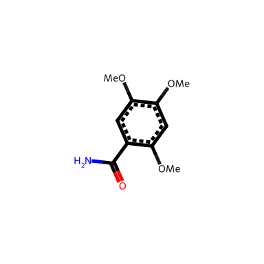 COc1cc(OC)c(C(N)=O)cc1OC